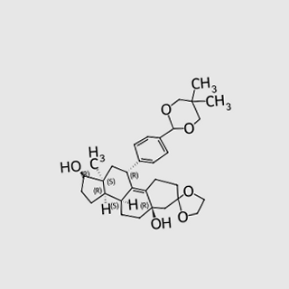 CC1(C)COC(c2ccc([C@H]3C[C@]4(C)[C@H](O)CC[C@@H]4[C@@H]4CC[C@@]5(O)CC6(CCC5=C43)OCCO6)cc2)OC1